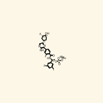 CC(C)(C)OP(=O)(OC[C@H](NC(=O)c1ccc(-c2nc([C@H]3CC[C@H](O)[C@@H](F)C3)cnc2N)cc1F)c1cc(F)cc(I)c1)OC(C)(C)C